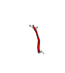 CCCCCNC(=O)CCOCCOCCOCCOCCOCCOCCOCCOCCOCCOCCOCCOCCOCCOCCOCCOCCOCCOCCOCCOCCOCCOCCOCCOC